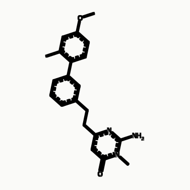 COc1ccc(-c2cccc(CCc3cc(=O)n(C)c(N)n3)c2)c(C)c1